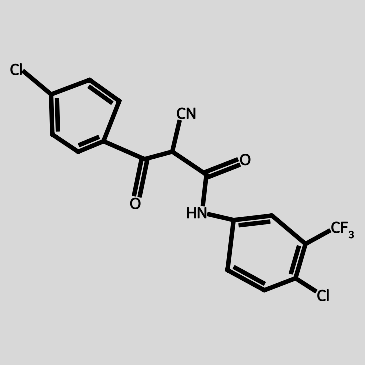 N#CC(C(=O)Nc1ccc(Cl)c(C(F)(F)F)c1)C(=O)c1ccc(Cl)cc1